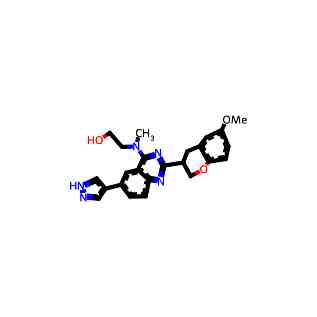 COc1ccc2c(c1)CC(c1nc(N(C)CCO)c3cc(-c4cn[nH]c4)ccc3n1)CO2